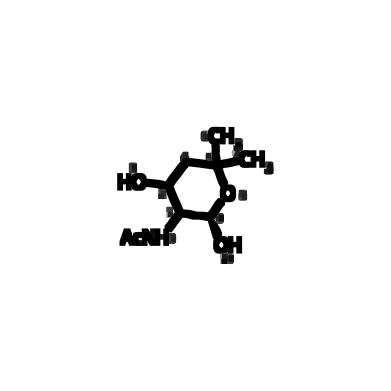 CC(=O)NC1C(O)CC(C)(C)O[C@H]1O